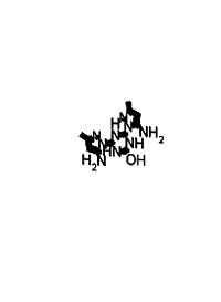 Cc1cc(N)n(C2NC(O)NC(n3nc(C)cc3N)N2)n1